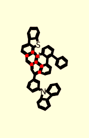 c1ccc(-c2ccccc2-c2c(-c3ccccc3)cccc2N(c2ccc(-c3cccc(-n4c5ccccc5c5ccccc54)c3)cc2)c2cccc3c2sc2ccccc23)cc1